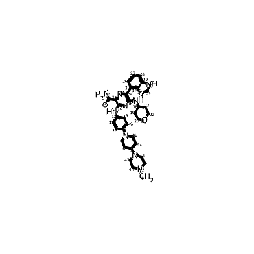 CN1CCN(C2CCN(c3ccc(Nc4nc(NC5CCOCC5)c(-c5cccc6[nH]cnc56)nc4C(N)=O)cc3)CC2)CC1